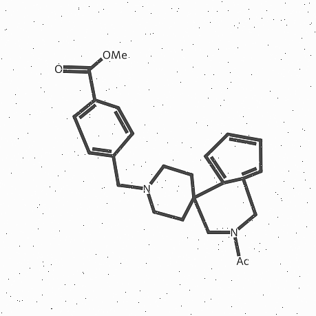 COC(=O)c1ccc(CN2CCC3(CC2)CN(C(C)=O)Cc2ccccc23)cc1